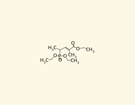 CCOC(=O)/C(C)=C/C(C)P(=O)(OCC)OCC